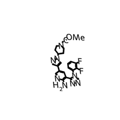 COCCN1CCC(n2cc(-c3cnc(N)c(-c4nncn4-c4cccc(F)c4F)c3)cn2)CC1